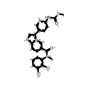 COC(=O)Nc1ccc(-c2cnc3ccc(C(=O)N(C)c4cccc(Cl)c4Cl)cn23)cn1